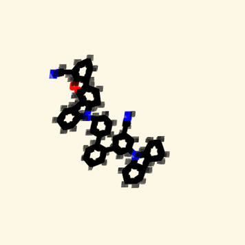 N#Cc1cc(-c2ccccc2-c2cccc(-n3c4ccccc4c4c5oc6c(C#N)cccc6c5ccc43)c2)cc(-n2c3ccccc3c3ccccc32)c1